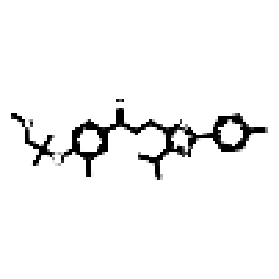 COCC(C)(C)Oc1ccc(C(=O)CCc2sc(-c3ccc(C)cc3)nc2C(C)C)cc1C